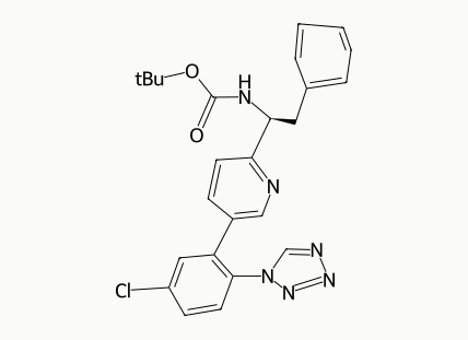 CC(C)(C)OC(=O)N[C@@H](Cc1ccccc1)c1ccc(-c2cc(Cl)ccc2-n2cnnn2)cn1